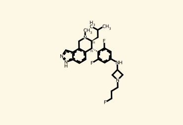 CC(C)C[C@H]1[C@H](c2c(F)cc(NC3CN(CCCF)C3)cc2F)c2ccc3[nH]ncc3c2CN1C